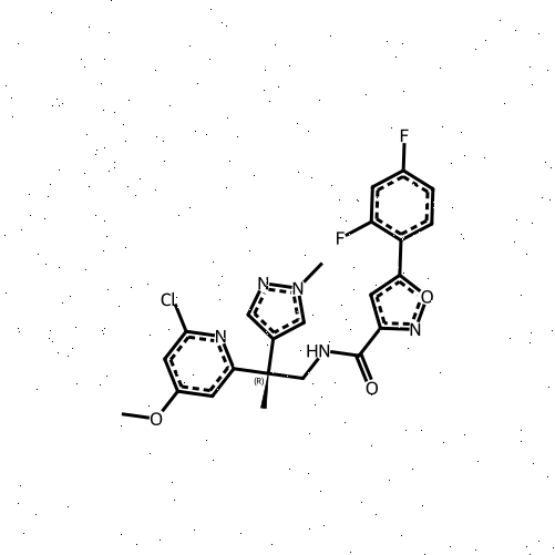 COc1cc(Cl)nc([C@@](C)(CNC(=O)c2cc(-c3ccc(F)cc3F)on2)c2cnn(C)c2)c1